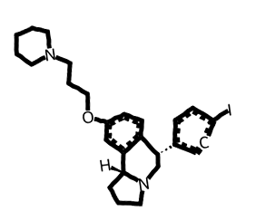 Ic1ccc([C@@H]2CN3CCC[C@@H]3c3cc(OCCCN4CCCCC4)ccc32)cc1